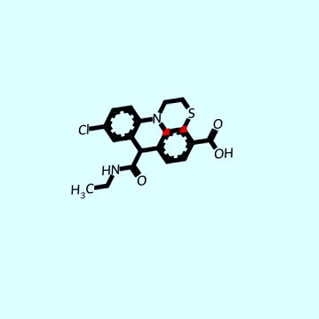 CCNC(=O)C(c1ccc(C(=O)O)cc1)c1cc(Cl)ccc1N1CCSCC1